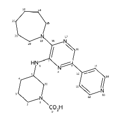 O=C(O)N1CCCC(Nc2nc(-c3ccncc3)cnc2N2CCCCCC2)C1